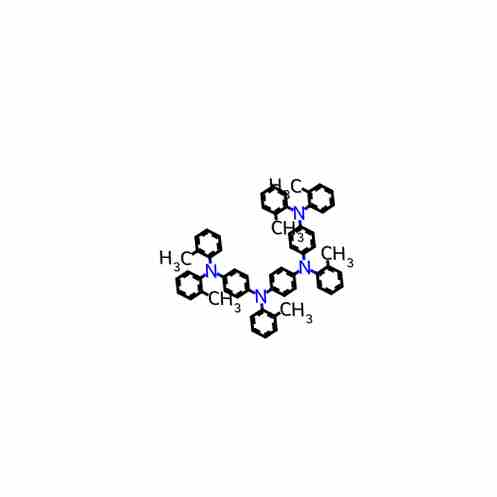 Cc1ccccc1N(c1ccc(N(c2ccc(N(c3ccccc3C)c3ccccc3C)cc2)c2ccccc2C)cc1)c1ccc(N(c2ccccc2C)c2ccccc2C)cc1